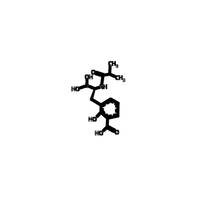 CC(C)C(=O)N[C@@H](Cc1cccc(C(=O)O)c1O)B(O)O